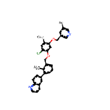 Cc1c(COc2cc(OCc3cncc(C#N)c3)c(C=O)cc2Cl)cccc1-c1ccc2ncccc2c1